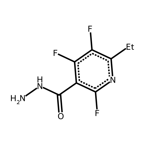 CCc1nc(F)c(C(=O)NN)c(F)c1F